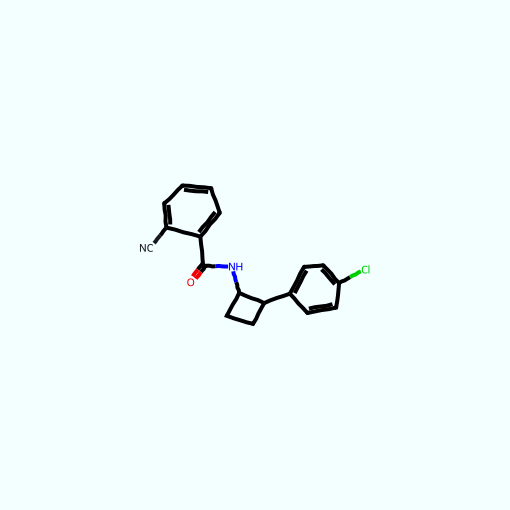 N#Cc1ccccc1C(=O)NC1CCC1c1ccc(Cl)cc1